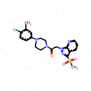 Cc1cc(N2CCN(C(=O)Cn3nc(S(C)(=O)=O)c4cccnc43)CC2)ccc1Cl